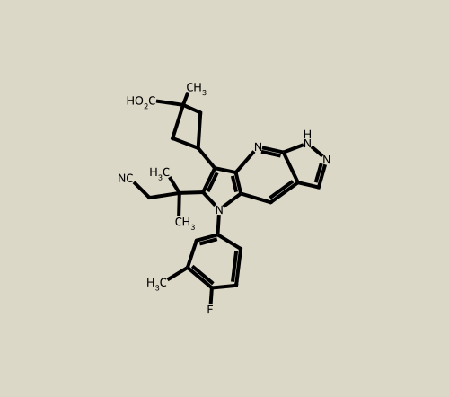 Cc1cc(-n2c(C(C)(C)CC#N)c(C3CC(C)(C(=O)O)C3)c3nc4[nH]ncc4cc32)ccc1F